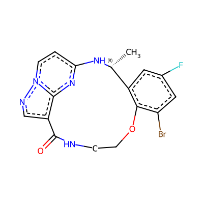 C[C@H]1Nc2ccn3ncc(c3n2)C(=O)NCCOc2c(Br)cc(F)cc21